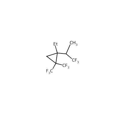 CCC1(C(C)C(F)(F)F)CC1(C(F)(F)F)C(F)(F)F